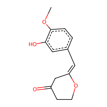 COc1ccc(C=C2CC(=O)CCO2)cc1O